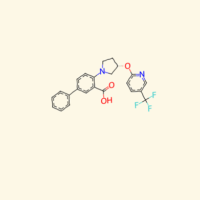 O=C(O)c1cc(-c2ccccc2)ccc1N1CC[C@H](Oc2ccc(C(F)(F)F)cn2)C1